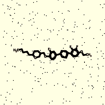 CCCCCC1CCC(COc2ccc(-c3ccc(-c4ccc(OCC)c(F)c4F)cc3)cc2F)CO1